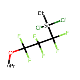 CCCOC(F)(F)C(F)(F)C(F)(F)[Si](Cl)(Cl)CC